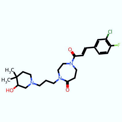 CC1(C)CCN(CCCN2CCN(C(=O)/C=C/c3ccc(F)c(Cl)c3)CCC2=O)CC1O